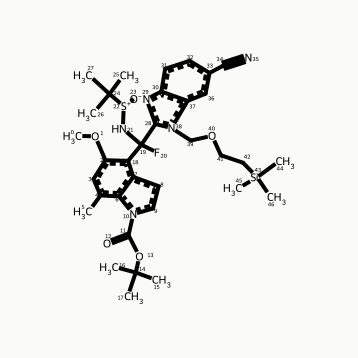 COc1cc(C)c2c(ccn2C(=O)OC(C)(C)C)c1C(F)(N[S+]([O-])C(C)(C)C)c1nc2ccc(C#N)cc2n1COCC[Si](C)(C)C